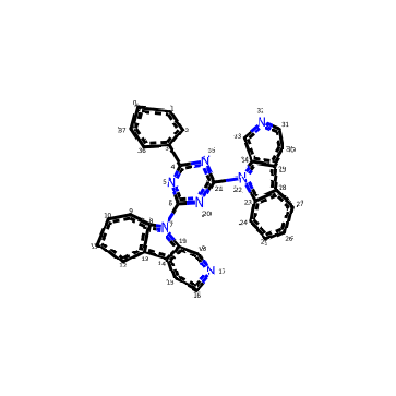 c1ccc(-c2nc(-n3c4ccccc4c4ccncc43)nc(-n3c4ccccc4c4ccncc43)n2)cc1